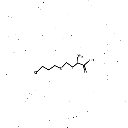 N[C@H](CCSCCCCl)C(=O)O